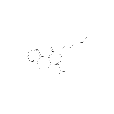 CCOCCn1nc(C(C)C)c(O)c(-c2ccccc2C)c1=O